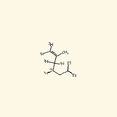 [2H]C([2H])=C(C)C([2H])([2H])[C@H]([2H])CC(CC)CC